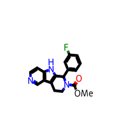 COC(=O)N1CCc2c([nH]c3ccncc23)C1c1cccc(F)c1